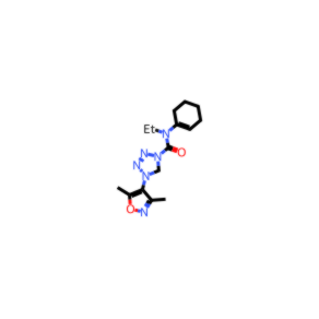 CCN(C(=O)N1CN(c2c(C)noc2C)N=N1)C1=CCCCC1